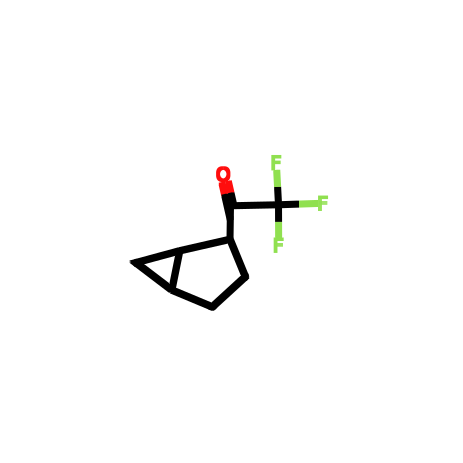 O=C(C1CCC2CC21)C(F)(F)F